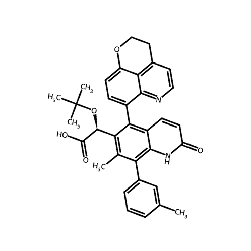 Cc1cccc(-c2c(C)c([C@H](OC(C)(C)C)C(=O)O)c(-c3ccc4c5c(ccnc35)CCO4)c3ccc(=O)[nH]c23)c1